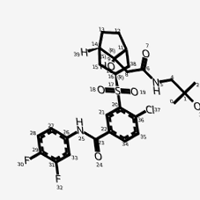 CC(C)(O)CNC(=O)C[C@@]1(O)C2CC[C@H]1C[C@H](S(=O)(=O)c1cc(C(=O)Nc3ccc(F)c(F)c3)ccc1Cl)C2